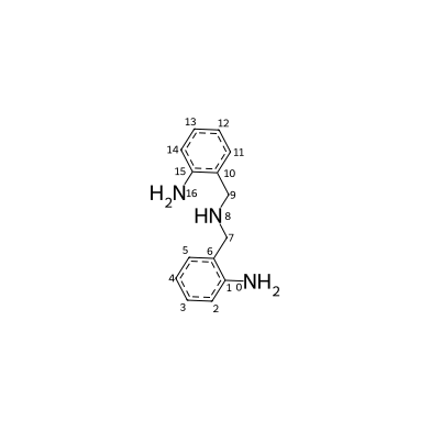 Nc1ccccc1CNCc1ccccc1N